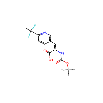 CC(C)(C)OC(=O)N/C(=C/c1ccc(C(C)(F)F)nc1)C(=O)O